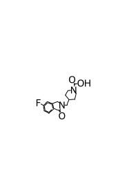 O=C(O)N1CCC(CN2Cc3cc(F)ccc3C2=O)CC1